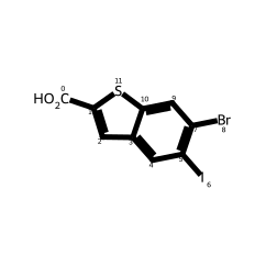 O=C(O)c1cc2cc(I)c(Br)cc2s1